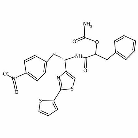 NC(=O)OC(Cc1ccccc1)C(=O)N[C@@H](Cc1ccc([N+](=O)[O-])cc1)c1csc(-c2cccs2)n1